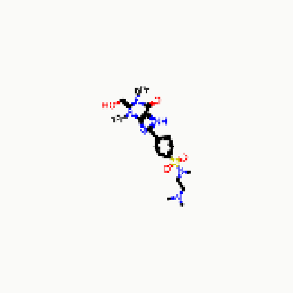 CCCN1C(=O)c2[nH]c(-c3ccc(S(=O)(=O)N(C)CCN(C)C)cc3)nc2N(CCC)/C1=C\O